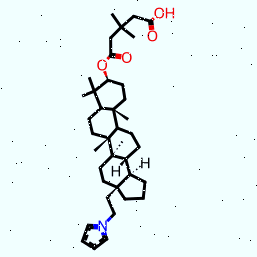 CC(C)(CC(=O)O)CC(=O)O[C@H]1CC[C@@]2(C)C(CC[C@]3(C)C2CC[C@@H]2[C@H]4CCC[C@]4(CCn4cccc4)CC[C@]23C)C1(C)C